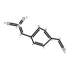 O=Cc1ccc(C=S(=O)=O)cc1